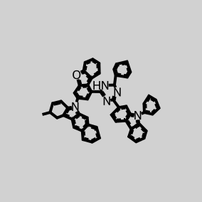 CC1C=Cc2c(c3cc4ccccc4cc3n2-c2cc(C3=NC(c4ccc5c6ccccc6n(-c6ccccc6)c5c4)=NC(c4ccccc4)N3)c3c(c2)oc2ccccc23)C1